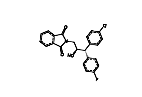 O=C1c2ccccc2C(=O)N1C[C@H](O)[C@@H](c1ccc(F)cc1)c1ccc(Cl)cc1